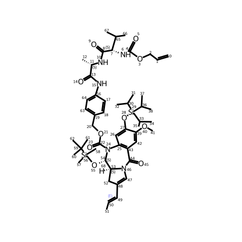 C=CCOC(=O)N[C@H](C(=O)N[C@@H](C)C(=O)Nc1ccc(COC(=O)N2c3cc(O[Si](C(C)C)(C(C)C)C(C)C)c(OC)cc3C(=O)N3C=C(/C=C/C)C[C@H]3[C@@H]2O[Si](C)(C)C(C)(C)C)cc1)C(C)C